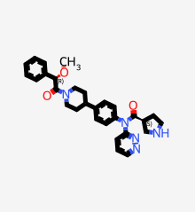 CO[C@@H](C(=O)N1CCC(c2ccc(N(C(=O)[C@H]3CCNC3)c3cccnn3)cc2)CC1)c1ccccc1